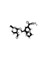 C=C/N=C(OCc1cc(C(N)=O)cn2ccnc12)\C(C=O)=C/C